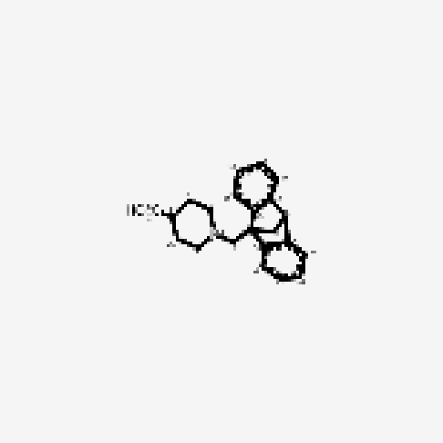 O=C(O)C1CCN(CC23CC(c4ccccc42)c2ccccc23)CC1